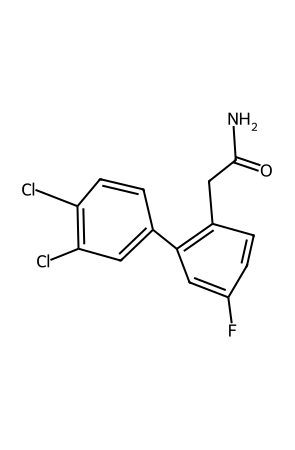 NC(=O)Cc1ccc(F)cc1-c1ccc(Cl)c(Cl)c1